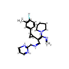 C=N/C(=C(\C=N/Cc1ncccn1)C1CC1c1ccc(F)c(C)c1)N1CCCCC1